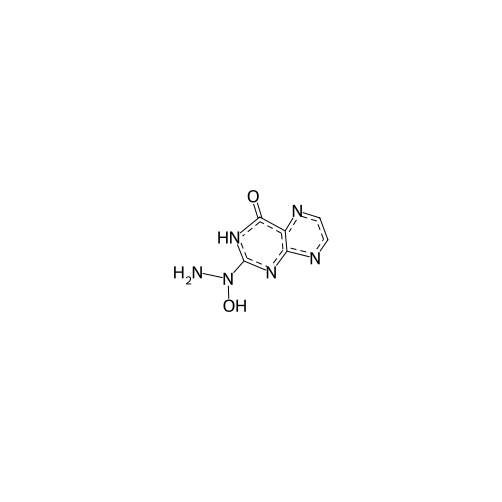 NN(O)c1nc2nccnc2c(=O)[nH]1